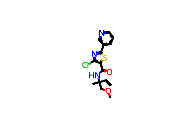 C=CC(C)(COC)NC(=O)c1sc(-c2cccnc2)nc1Cl